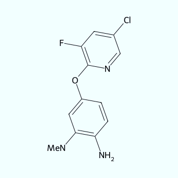 CNc1cc(Oc2ncc(Cl)cc2F)ccc1N